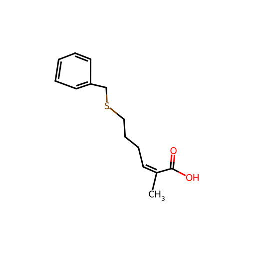 CC(=CCCCSCc1ccccc1)C(=O)O